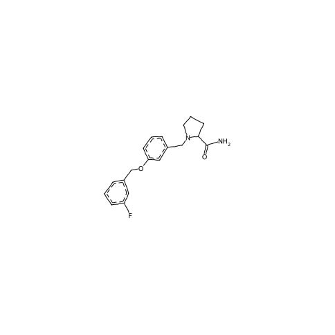 NC(=O)C1CCCN1Cc1cccc(OCc2cccc(F)c2)c1